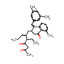 CCCC(CC1CC(=O)c2c(C)cccc2/C1=C\c1cc(C)cc(C)c1)C(CC)C(=O)CC(C)=O